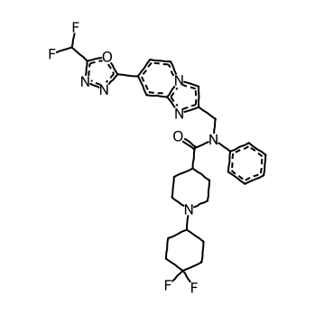 O=C(C1CCN(C2CCC(F)(F)CC2)CC1)N(Cc1cn2ccc(-c3nnc(C(F)F)o3)cc2n1)c1ccccc1